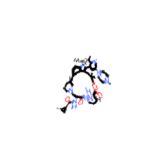 CCn1c(-c2cc(N3CCN(C)CC3)cnc2[C@H](C)OC)c2c3cc(ccc31)[C@H]1CCCN(C1)C[C@H](NC(=O)[C@H]1C[C@@H]1C)C(=O)N1CCC[C@H](N1)C(=O)OCC(C)(C)C2